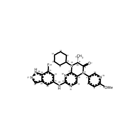 COc1ccc(N2C(=O)[C@@H](C)N(C3CCCCC3)c3nc(Nc4cc(F)c5[nH]ncc5c4)ncc32)cn1